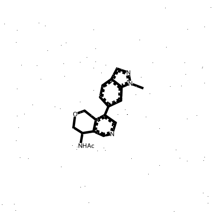 CC(=O)NC1COCc2c(-c3ccc4cnn(C)c4c3)cncc21